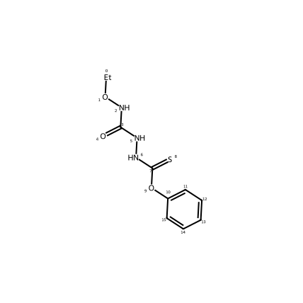 CCONC(=O)NNC(=S)Oc1ccccc1